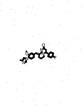 COc1cc(/C=C2\CCCN3C2=NC(=O)CC3c2ccc(F)cc2)ccc1-n1cnc(C)c1